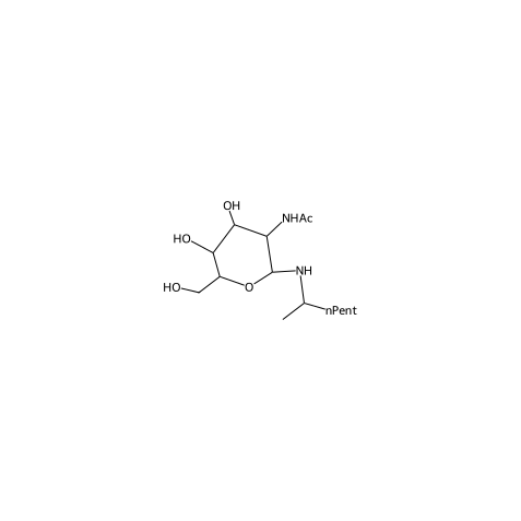 CCCCCC(C)NC1OC(CO)C(O)C(O)C1NC(C)=O